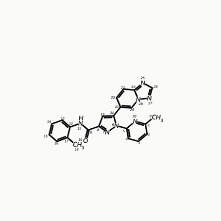 Cc1cccc(-n2nc(C(=O)Nc3ccccc3C)cc2-c2ccc3ncnn3c2)n1